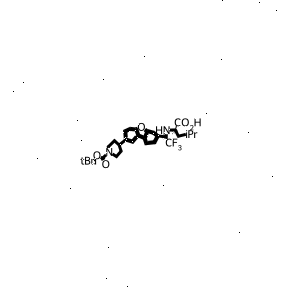 CC(C)C[C@H](N[C@@H](c1ccc2c(c1)oc1ccc(C3CCN(C(=O)OC(C)(C)C)CC3)cc12)C(F)(F)F)C(=O)O